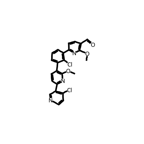 COc1nc(-c2cccc(-c3ccc(-c4cnccc4Cl)nc3OC)c2Cl)ccc1C=O